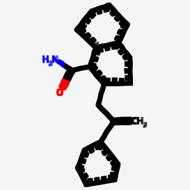 C=C(Cc1ccc2ccccc2c1C(N)=O)c1ccccc1